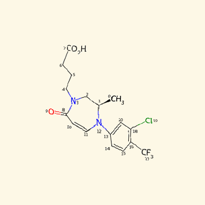 C[C@@H]1CN(CCCC(=O)O)C(=O)C=CN1c1ccc(C(F)(F)F)c(Cl)c1